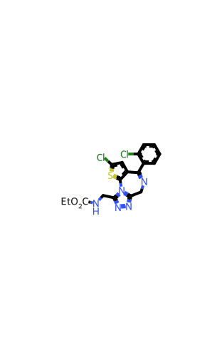 CCOC(=O)NCc1nnc2n1-c1sc(Cl)cc1C(c1ccccc1Cl)=NC2